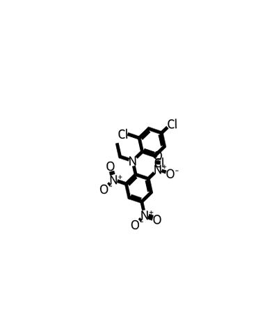 CCN(c1c(Cl)cc(Cl)cc1Cl)c1c([N+](=O)[O-])cc([N+](=O)[O-])cc1[N+](=O)[O-]